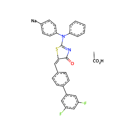 CC(=O)O.O=C1N=C(N(c2ccccc2)c2cc[c]([Na])cc2)S/C1=C/c1ccc(-c2cc(F)cc(F)c2)cc1